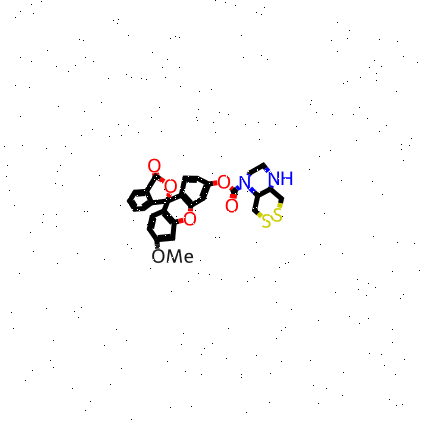 COc1ccc2c(c1)Oc1cc(OC(=O)N3CCNC4CSSCC43)ccc1C21OC(=O)c2ccccc21